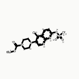 CC(C)(C)OC(=O)N1CCN(c2cnc3nc(OS(=O)(=O)C(F)(F)F)ccc3c2Cl)CC1